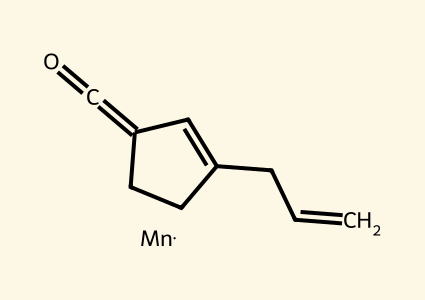 C=CCC1=CC(=C=O)CC1.[Mn]